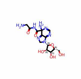 NCC(=O)NC(=O)C1(N)N=CN=C2C1=NCN2[C@@H]1O[C@H](CO)[C@@H](O)[C@H]1O